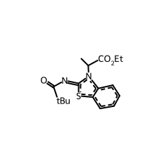 CCOC(=O)C(C)n1c(=NC(=O)C(C)(C)C)sc2ccccc21